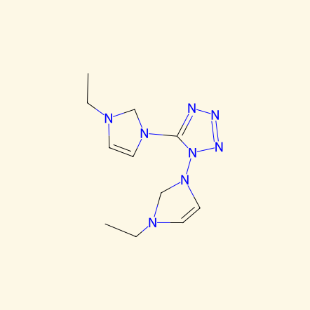 CCN1C=CN(c2nnnn2N2C=CN(CC)C2)C1